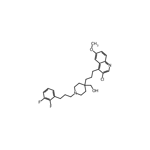 COc1ccc2ncc(Cl)c(CCCC3(CO)CCN(CCCc4cccc(F)c4F)CC3)c2c1